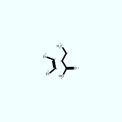 CCCC(=O)O.[CH2]C/C=C\CC